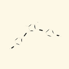 N#Cc1ccc(C#Cc2cc(C#Cc3ccc(C#N)cc3)c(Br)cc2Br)cc1